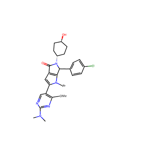 COc1nc(N(C)C)ncc1-c1cc2c(n1C(C)C)C(c1ccc(Cl)cc1)N([C@H]1CC[C@H](O)CC1)C2=O